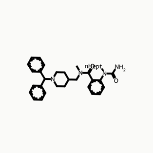 CCCCCCCN(C(N)=O)c1ccccc1C(=O)N(C)CC1CCN(C(c2ccccc2)c2ccccc2)CC1